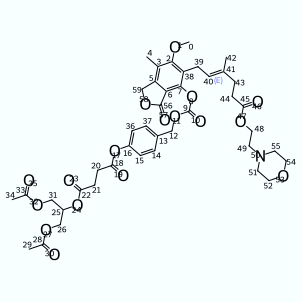 COc1c(C)c2c(c(OC(=O)OCc3ccc(OC(=O)CCC(=O)OC(COC(C)=O)COC(C)=O)cc3)c1C/C=C(\C)CCC(=O)OCCN1CCOCC1)C(=O)OC2